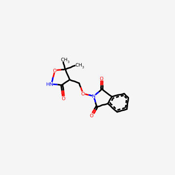 CC1(C)ONC(=O)C1CON1C(=O)c2ccccc2C1=O